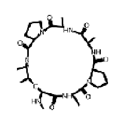 CNC1CC(C)C(C)NC(=O)C2CCCN2C(=O)C(C)NC(=O)C(C)NC(=O)C2CCCN2C(=O)C(C)NC1=O